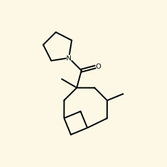 CC1CC2CC(C2)CC(C)(C(=O)N2CCCC2)C1